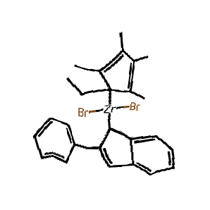 CC[C]1([Zr]([Br])([Br])[CH]2C(c3ccccc3)=Cc3ccccc32)C(C)=C(C)C(C)=C1C